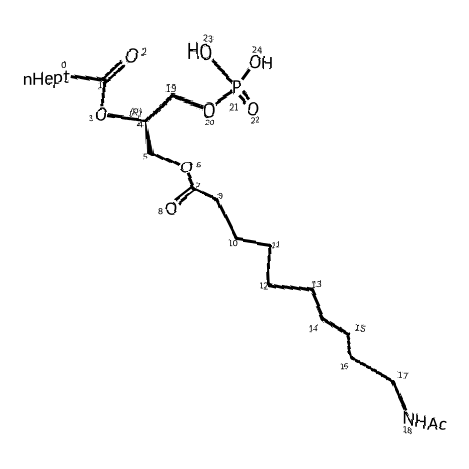 CCCCCCCC(=O)O[C@H](COC(=O)CCCCCCCCCNC(C)=O)COP(=O)(O)O